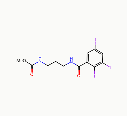 COC(=O)NCCCNC(=O)c1cc(I)cc(I)c1I